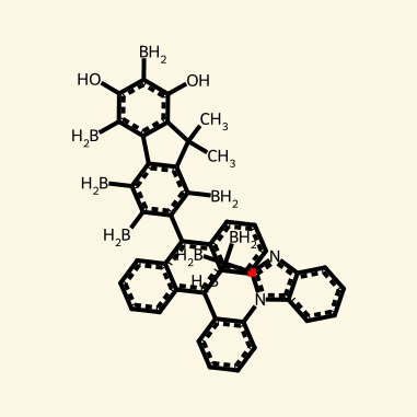 Bc1c(O)c(B)c2c(c1O)C(C)(C)c1c(B)c(-c3c4ccccc4c(-c4ccccc4-n4c(C(B)(B)B)nc5ccccc54)c4ccccc34)c(B)c(B)c1-2